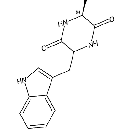 O=C1N[C@@H](CS)C(=O)NC1Cc1c[nH]c2ccccc12